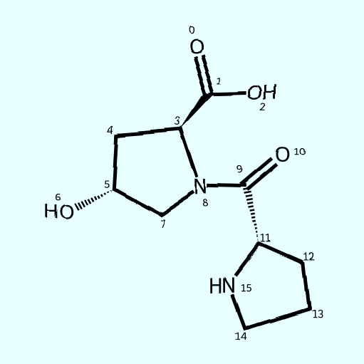 O=C(O)[C@@H]1C[C@@H](O)CN1C(=O)[C@@H]1CCCN1